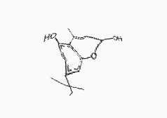 CC1=CC(O)Oc2cc(C(C)(C)C)cc(O)c21